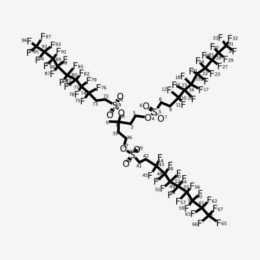 CC(CCOS(=O)(=O)CCC(F)(F)C(F)(F)C(F)(F)C(F)(F)C(F)(F)C(F)(F)C(F)(F)C(F)(F)F)(CCOS(=O)(=O)CCC(F)(F)C(F)(F)C(F)(F)C(F)(F)C(F)(F)C(F)(F)C(F)(F)C(F)(F)F)OS(=O)(=O)CCC(F)(F)C(F)(F)C(F)(F)C(F)(F)C(F)(F)C(F)(F)C(F)(F)C(F)(F)F